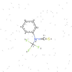 FC(F)(F)[N+](=C=S)c1ccccc1